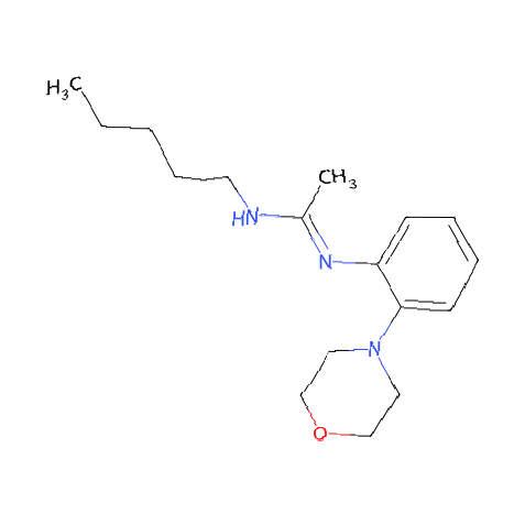 CCCCCN/C(C)=N/c1ccccc1N1CCOCC1